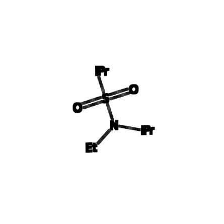 CCN(C(C)C)S(=O)(=O)C(C)C